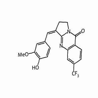 COc1cc(/C=C2/CCn3c2nc2cc(C(F)(F)F)ccc2c3=O)ccc1O